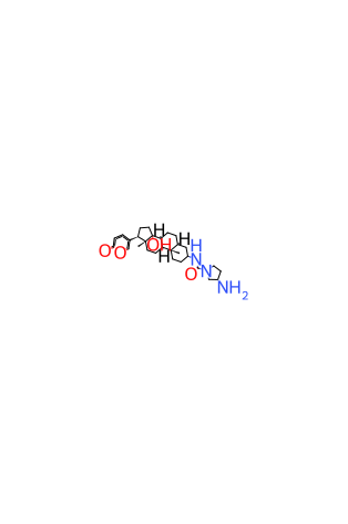 C[C@]12CC[C@H](NC(=O)N3CCC(N)C3)C[C@H]1CC[C@@H]1[C@@H]2CC[C@]2(C)[C@@H](c3ccc(=O)oc3)CC[C@]12O